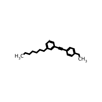 CCCCCCCc1c[c]cc(C#Cc2ccc(CC)cc2)c1